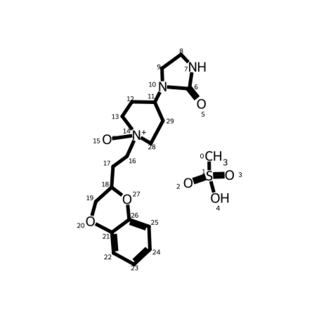 CS(=O)(=O)O.O=C1NCCN1C1CC[N+]([O-])(CCC2COc3ccccc3O2)CC1